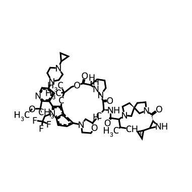 CO[C@@H](C)c1ncc(N2CCN(C3CC3)CC2)cc1-c1c2c3cc(ccc3n1CC(F)(F)F)N1CCO[C@@H](C[C@H](NC(=O)C(C(C)C)N3CC[C@]4(CCN(C(=O)[C@@H]5NC5C5CC5)C4)C3)C(=O)N3CCC[C@H](N3)C(=O)OCC(C)(C)C2)C1